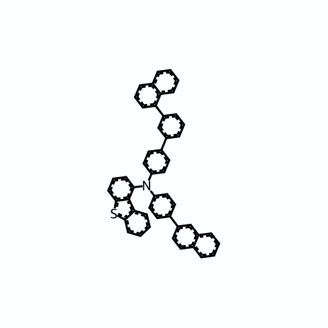 c1cc(-c2ccc(N(c3ccc(-c4ccc5ccccc5c4)cc3)c3cccc4sc5ccccc5c34)cc2)cc(-c2cccc3ccccc23)c1